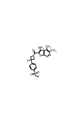 Cc1nnc2sc(C(=O)N3CC(F)(c4ccc(S(=O)(=O)CF)cc4)C3)c(N)c2c1C